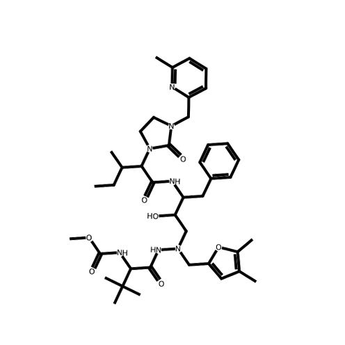 CCC(C)C(C(=O)NC(Cc1ccccc1)C(O)CN(Cc1cc(C)c(C)o1)NC(=O)C(NC(=O)OC)C(C)(C)C)N1CCN(Cc2cccc(C)n2)C1=O